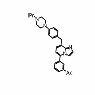 CC(=O)c1cccc(-c2ccc(Cc3ccc(N4CCN(C(C)C)CC4)cc3)c3nccn23)c1